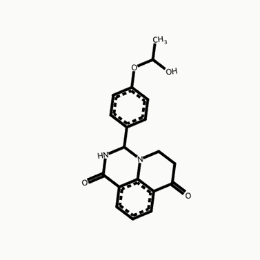 CC(O)Oc1ccc(C2NC(=O)c3cccc4c3N2CCC4=O)cc1